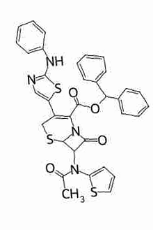 CC(=O)N(c1cccs1)C1C(=O)N2C(C(=O)OC(c3ccccc3)c3ccccc3)=C(c3cnc(Nc4ccccc4)s3)CSC12